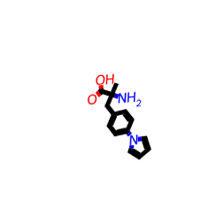 CC(N)(Cc1ccc(-n2cccc2)cc1)C(=O)O